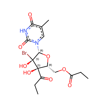 CCC(=O)OC[C@H]1O[C@@H](n2cc(C)c(=O)[nH]c2=O)[C@@](O)(Br)[C@@]1(O)C(=O)CC